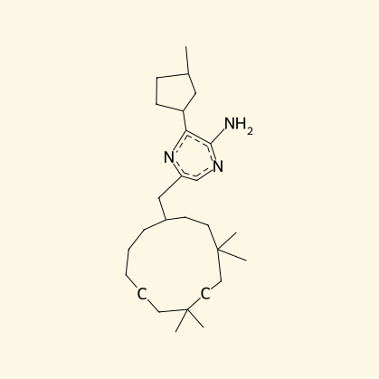 CC1CCC(c2nc(CC3CCCCCC(C)(C)CCC(C)(C)CC3)cnc2N)C1